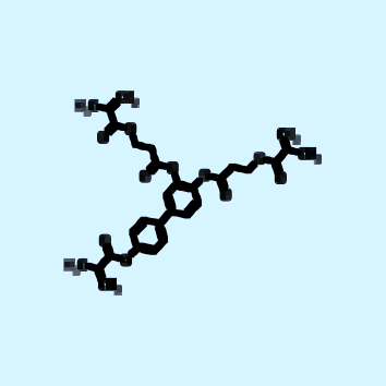 C=C(C)C(=O)OCCC(=O)Oc1ccc(-c2ccc(OC(=O)C(=C)C)cc2)cc1OC(=O)CCOC(=O)C(=C)C